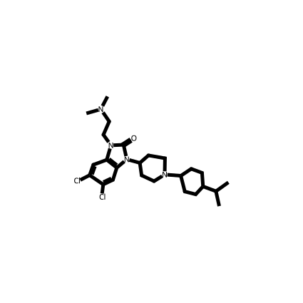 CC(C)C1CCC(N2CCC(n3c(=O)n(CCN(C)C)c4cc(Cl)c(Cl)cc43)CC2)CC1